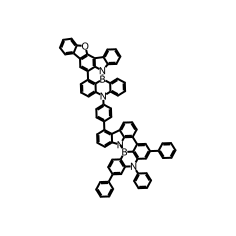 c1ccc(-c2ccc3c(c2)N(c2ccccc2)c2cc(-c4ccccc4)cc4c2B3n2c3cccc(-c5ccc(N6c7ccccc7B7c8c(cccc86)-c6cc8c9ccccc9oc8c8c9ccccc9n7c68)cc5)c3c3cccc-4c32)cc1